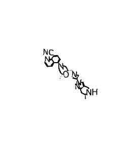 C[C@@H]1CN(c2ccc(C#N)c3ncccc23)C[C@H](CN2CC(n3cc4c(n3)C[C@H](C)NC4)C2)O1